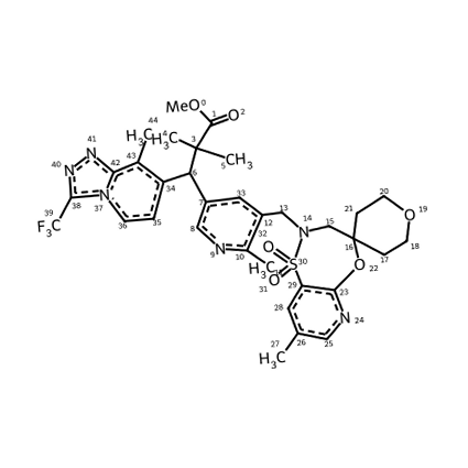 COC(=O)C(C)(C)C(c1cnc(C)c(CN2CC3(CCOCC3)Oc3ncc(C)cc3S2(=O)=O)c1)c1ccn2c(C(F)(F)F)nnc2c1C